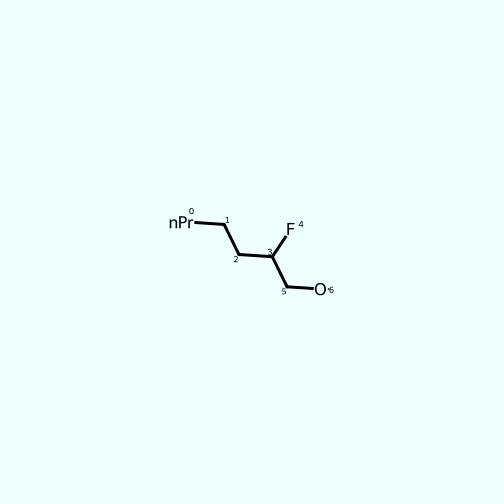 CCCCCC(F)C[O]